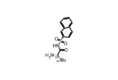 CC[C@H](C)[C@H](N)C(=O)NS(=O)(=O)c1ccc2ccccc2c1